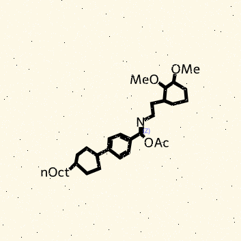 CCCCCCCCC1CCC(c2ccc(/C(=N/CCC3CCCC(OC)C3OC)OC(C)=O)cc2)CC1